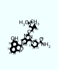 CN(C)CC1(COc2nc3c(c(N4CCC[C@@H](C(N)=O)C4)n2)CN(C(=O)c2cc(O)cc4cccc(I)c24)C3)CC1